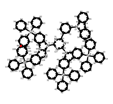 c1ccc([Si](c2ccccc2)(c2ccccc2)c2ccc3c(c2)c2cc([Si](c4ccccc4)(c4ccccc4)c4ccccc4)ccc2n3-c2nc(-c3cccc(-n4c5ccccc5c5ccccc54)c3)nc(-n3c4ccc([Si](c5ccccc5)(c5ccccc5)c5ccccc5)cc4n4c5cc([Si](c6ccccc6)(c6ccccc6)c6ccccc6)ccc5nc34)n2)cc1